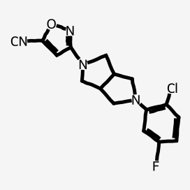 [C-]#[N+]c1cc(N2CC3CN(c4cc(F)ccc4Cl)CC3C2)no1